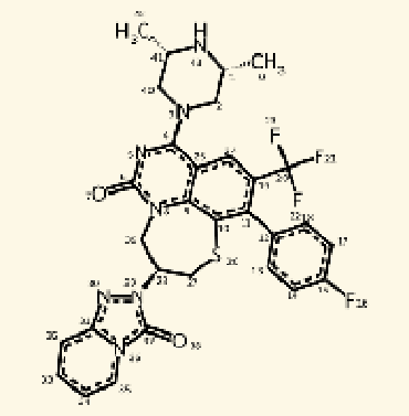 C[C@@H]1CN(c2nc(=O)n3c4c(c(-c5ccc(F)cc5)c(C(F)(F)F)cc24)SC[C@@H](n2nc4ccccn4c2=O)C3)C[C@H](C)N1